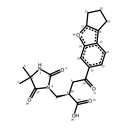 CC1(C)NC(=O)N(C[C@@H](CC(=O)c2ccc3c4c(oc3c2)CCC4)C(=O)O)C1=O